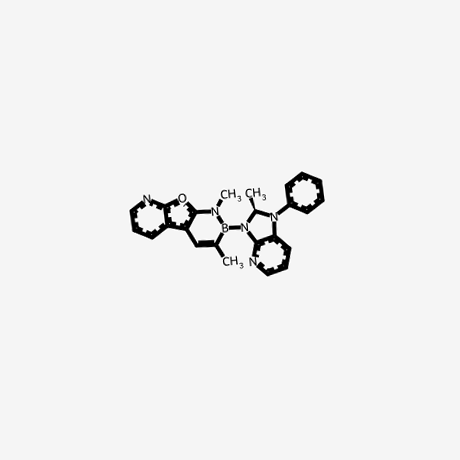 CC1=Cc2c(oc3ncccc23)N(C)B1N1c2ncccc2N(c2ccccc2)[C@@H]1C